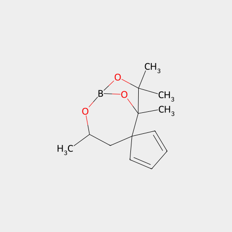 CC1CC2(C=CC=C2)C2(C)OB(O1)OC2(C)C